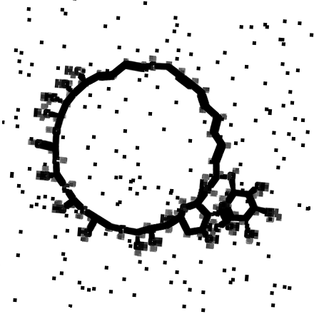 C[C@@H]1[C@H](O)[C@@H](C)/C=C/C=C/CC/C=C/C=C/C=C/C=C/[C@H](O[C@@H]2O[C@H](C)[C@@H](O)[C@H](N)[C@@H]2O)C[C@@H]2O[C@](O)(C[C@@H](O)[C@H](O)CCC(O)CC(O)C[C@@H](O)CC(=O)O[C@H]1C)C[C@H](O)[C@H]2C(=O)O